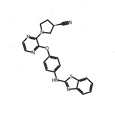 N#C[C@@H]1CCN(c2nccnc2Oc2ccc(Nc3nc4ccccc4s3)cc2)C1